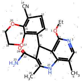 CCOc1ncc(C)c2c1C(c1ccc(C#N)c3c1OCCO3)C(C(N)=O)=C(C)N2